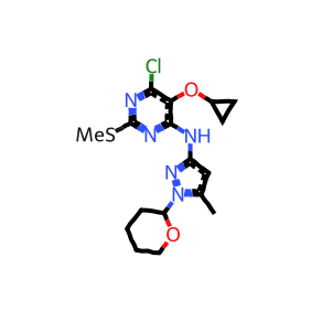 CSc1nc(Cl)c(OC2CC2)c(Nc2cc(C)n(C3CCCCO3)n2)n1